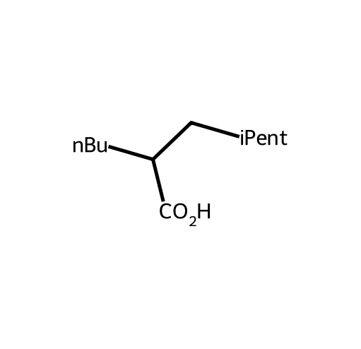 CCCCC(CC(C)CCC)C(=O)O